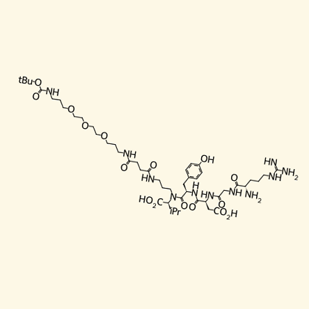 CC(C)[C@@H](C(=O)O)N(CCCNC(=O)CCC(=O)NCCCOCCOCCOCCCNC(=O)OC(C)(C)C)C(=O)[C@@H](Cc1ccc(O)cc1)NC(=O)[C@H](CC(=O)O)NC(=O)CNC(=O)[C@@H](N)CCCNC(=N)N